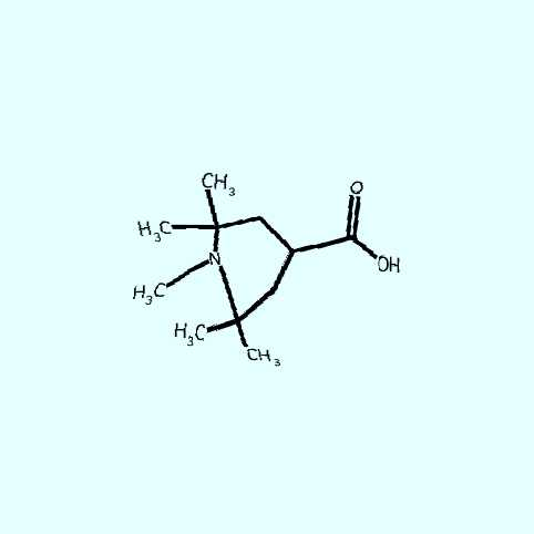 CN1C(C)(C)CC(C(=O)O)CC1(C)C